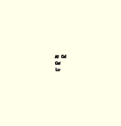 [Al].[Ga].[Gd].[Lu]